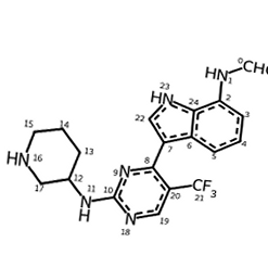 O=CNc1cccc2c(-c3nc(NC4CCCNC4)ncc3C(F)(F)F)c[nH]c12